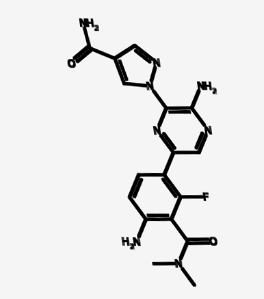 CN(C)C(=O)c1c(N)ccc(-c2cnc(N)c(-n3cc(C(N)=O)cn3)n2)c1F